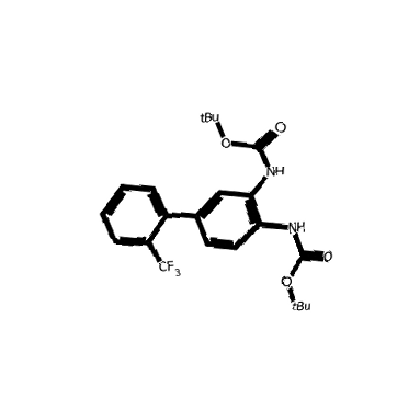 CC(C)(C)OC(=O)Nc1ccc(-c2ccccc2C(F)(F)F)cc1NC(=O)OC(C)(C)C